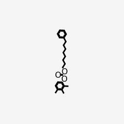 Cc1ccc(OC(=O)OCCCCCCCCc2ccccc2)c(C)c1C